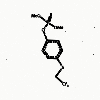 COP(=S)(OC)Oc1ccc(SCC(F)(F)F)cc1